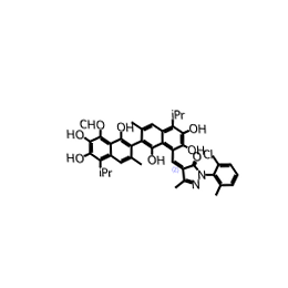 CC1=NN(c2c(C)cccc2Cl)C(=O)/C1=C\c1c(O)c(O)c(C(C)C)c2cc(C)c(-c3c(C)cc4c(C(C)C)c(O)c(O)c(C=O)c4c3O)c(O)c12